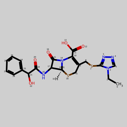 CCn1cnnc1SCC1=C(C(=O)O)N2C(=O)C(NC(=O)C(O)c3ccccc3)[C@@H]2SC1